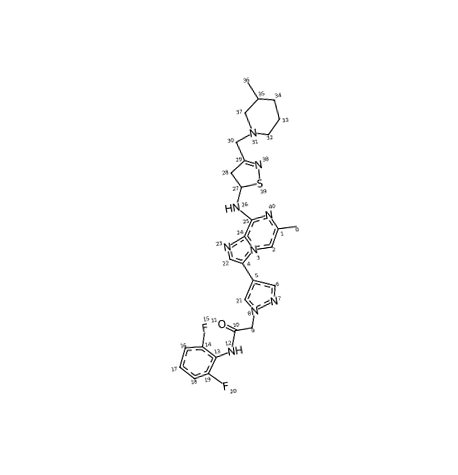 Cc1cn2c(-c3cnn(CC(=O)Nc4c(F)cccc4F)c3)cnc2c(NC2CC(CN3CCCC(C)C3)=NS2)n1